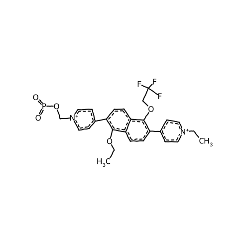 CCOc1c(-c2cc[n+](COP(=O)=O)cc2)ccc2c(OCC(F)(F)F)c(-c3cc[n+](CC)cc3)ccc12